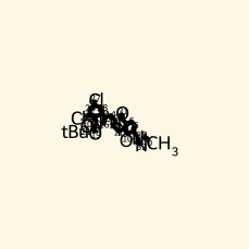 Cc1cn(-c2ccc3n(c2=O)CCN(Cc2cn(C(=O)OC(C)(C)C)c4c(Cl)cc(Cl)cc24)C3=O)cn1